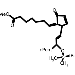 CCCCCC(C=CC1C=CC(=O)C1=CCCCCCC(=O)OC)O[Si](C)(C)C(C)(C)C